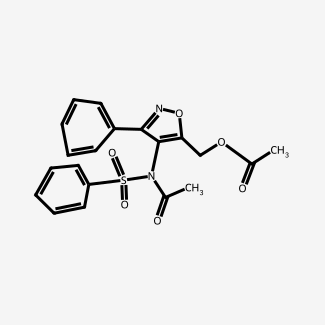 CC(=O)OCc1onc(-c2ccccc2)c1N(C(C)=O)S(=O)(=O)c1ccccc1